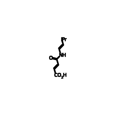 CC(C)/C=C/NC(=O)/C=C/C(=O)O